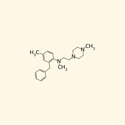 Cc1ccc(N(C)CCN2CCN(C)CC2)c(Cc2ccccc2)c1